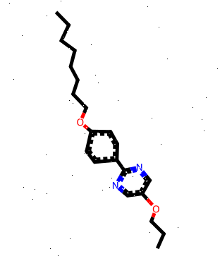 CCCCCCCCOc1ccc(-c2ncc(OCCC)cn2)cc1